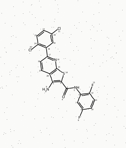 Nc1c(C(=O)Nc2cc(F)ccc2F)sc2nc(-c3cc(Cl)ccc3Cl)ccc12